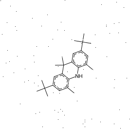 Cc1cc(C(C)(C)C)cc2c1Nc1c(C)cc(C(C)(C)C)cc1C2(C)C